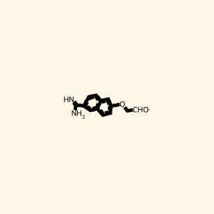 N=C(N)c1ccc2cc(OC[C]=O)ccc2c1